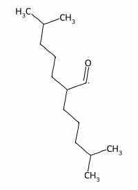 CC(C)CCCC([C]=O)CCCC(C)C